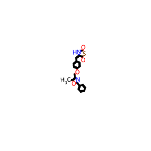 Cc1oc(-c2ccccc2)nc1COc1ccc(C=C2NC(=O)SC2=O)cc1